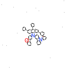 c1ccc(-c2ccc3c(N(c4ccc5oc6ccccc6c5c4)c4ccc5c(c4)c4ccccc4n5-c4ccccc4)c4cc(-c5ccccc5)ccc4c(-c4ccccc4)c3c2)cc1